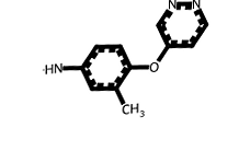 Cc1cc([NH])ccc1Oc1ccnnc1